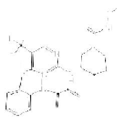 C=CC(=O)Nc1ccccc1Nc1nc(N[C@H]2CCC[C@@H](C(=O)NOC)C2)ncc1C(F)(F)F